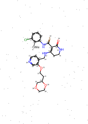 COc1c(Cl)cccc1NC(=S)C1=C(NCc2ccncc2OCCC2COCCO2)CCNC1=O